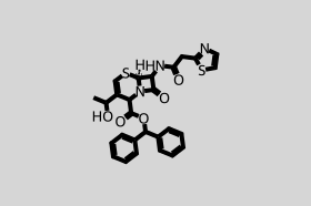 CC(O)C1=CS[C@H]2C(NC(=O)Cc3nccs3)C(=O)N2C1C(=O)OC(c1ccccc1)c1ccccc1